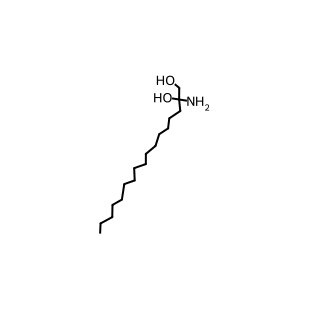 CCCCCCCCCCCCCCCC(N)(O)CO